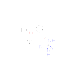 N#CC1CCN(C2NN[C@H]2NC(=O)Cc2cccc(OC(F)(F)F)c2)C1